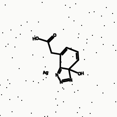 O=C(O)CC1=CC=CC2(O)N=NN=C12.[Ag]